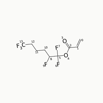 C=CC(=O)OC(F)(F)C(F)CCCC(F)(F)F